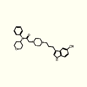 N#Cc1ccc2[nH]cc(CCCN3CCN(CC(=O)N(c4ccccc4)C4CCOCC4)CC3)c2c1